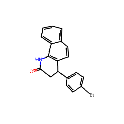 CCc1ccc(C2CC(=O)Nc3c2ccc2ccccc32)cc1